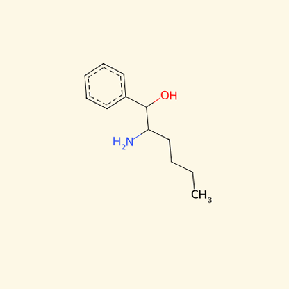 CCCCC(N)C(O)c1ccccc1